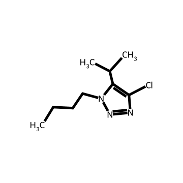 CCCCn1nnc(Cl)c1C(C)C